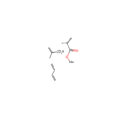 C=C(C)C(=O)O.C=C(C)C(=O)OCCCC.C=CC=C